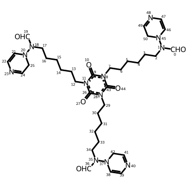 O=CN(CCCCCCn1c(=O)n(CCCCCCN(C=O)N2C=CN=CC2)c(=O)n(CCCCCCN(C=O)N2C=CN=CC2)c1=O)N1C=CN=CC1